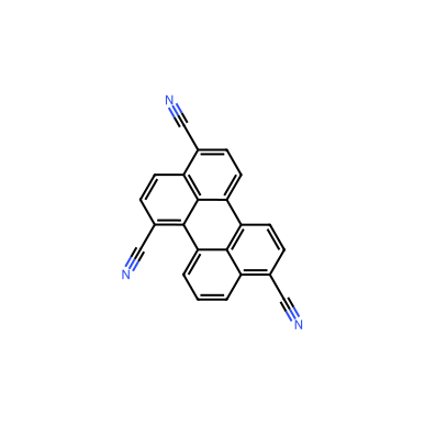 N#Cc1ccc2c3ccc(C#N)c4ccc(C#N)c(c5cccc1c25)c43